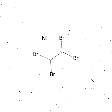 BrC(Br)C(Br)Br.[N]